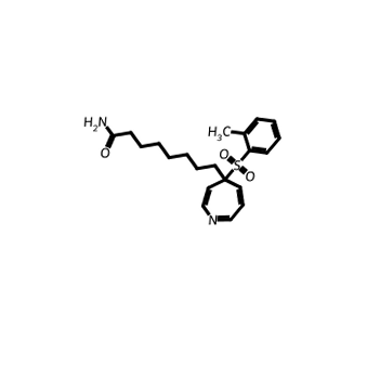 Cc1ccccc1S(=O)(=O)C1(CCCCCCCC(N)=O)C=CC=NC=C1